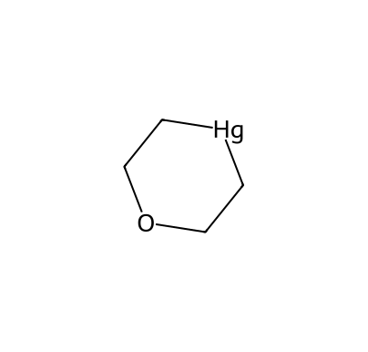 C1[CH2][Hg][CH2]CO1